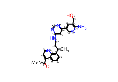 CNC(=O)c1ccnc2c(C(C)CCNc3cc(-c4cnc(N)c(CO)c4)ncn3)cccc12